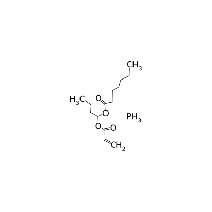 C=CC(=O)OC(CCC)OC(=O)CCCCCC.P